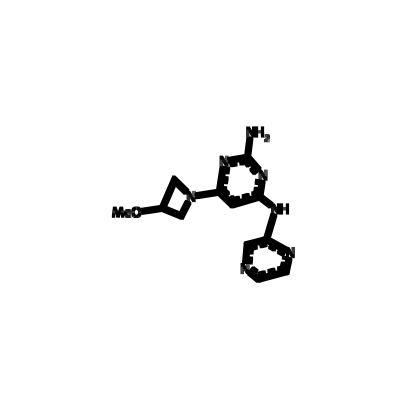 COC1CN(c2cc(Nc3cnccn3)nc(N)n2)C1